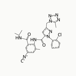 [C-]#[N+]c1cc(C)c(NC(=O)c2cc(Cn3nnnc3C)nn2-c2ccccc2Cl)c(C(=O)NC(C)C)c1